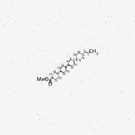 C/C=C/C1CCC(c2ccc(-c3ccc([C@H]4CC[C@H](C(=O)OC)CC4)cc3)cc2)CC1